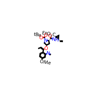 C=C[C@H]1C[C@@]1(NC(=O)[C@@H]1C[C@@H](O/C(=C/C)c2ccc(OC)cc2N=C)CN1C(=O)OC(C)(C)C)C(=O)OCC